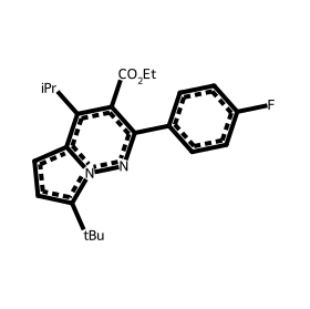 CCOC(=O)c1c(-c2ccc(F)cc2)nn2c(C(C)(C)C)ccc2c1C(C)C